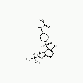 CC(C)(C)c1nc2ccc(Cl)c(S(=O)(=O)[C@H]3CC[C@H](NC(=O)O)CC3)c2o1